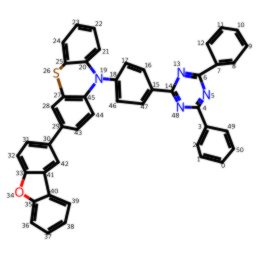 c1ccc(-c2nc(-c3ccccc3)nc(-c3ccc(N4c5ccccc5Sc5cc(-c6ccc7oc8ccccc8c7c6)ccc54)cc3)n2)cc1